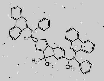 CCC1(N(c2ccccc2)c2cc3ccccc3c3ccccc23)c2cc3c(cc21)C(C)(C)c1cc(C(C)N(c2ccccc2)c2cc4ccccc4c4ccccc24)ccc1-3